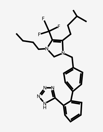 CCCCN1CN(Cc2ccc(-c3ccccc3-c3nnn[nH]3)cc2)C(CCC(C)C)=C1C(F)(F)F